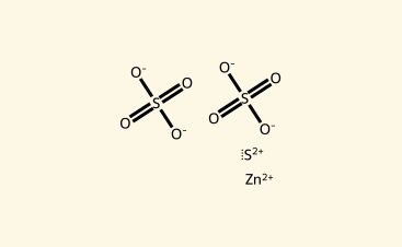 O=S(=O)([O-])[O-].O=S(=O)([O-])[O-].[S+2].[Zn+2]